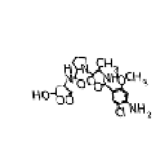 COc1cc(N)c(Cl)cc1C(=O)N[C@@H](C)C(=O)N1CCCC1C(=O)N[C@H](C=O)CC(=O)O